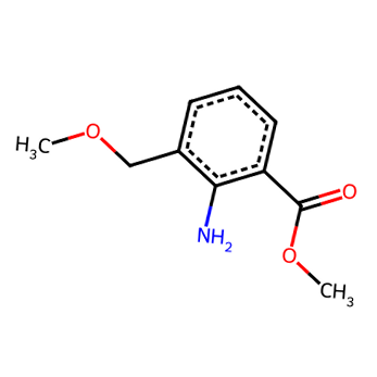 COCc1cccc(C(=O)OC)c1N